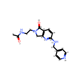 CC(=O)NCCN1Cc2nc(NCc3ccncc3)ccc2C1=O